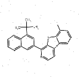 CC(C)(C)c1cc(-c2nccc3c2sc2c(F)cccc23)cc2ccccc12